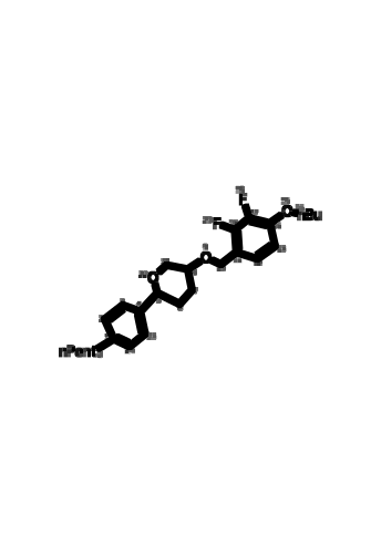 CCCCCc1ccc(C2CCC(OCc3ccc(OCCCC)c(F)c3F)CO2)cc1